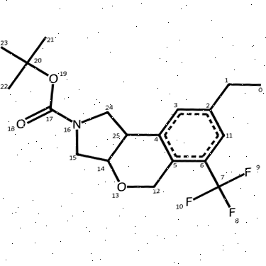 CCc1cc2c(c(C(F)(F)F)c1)COC1CN(C(=O)OC(C)(C)C)CC21